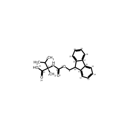 CC(C)[C@](C)(NC(=O)OCC1c2ccccc2-c2ccccc21)C(=O)O